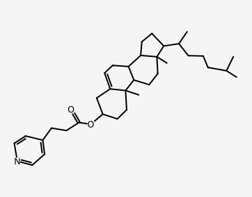 CC(C)CCCC(C)C1CCC2C3CC=C4CC(OC(=O)CCc5ccncc5)CCC4(C)C3CCC12C